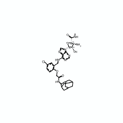 CNC(=O)[C@H]1O[C@@H](n2cnc3c(NCc4cc(Cl)ccc4OCC(=O)NC4C5CC6CC(C5)CC4C6)ncnc32)[C@H](O)[C@@H]1N